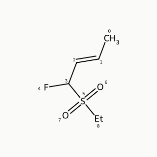 C/C=C/C(F)S(=O)(=O)CC